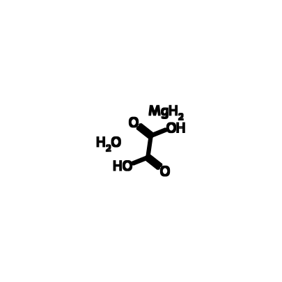 O.O=C(O)C(=O)O.[MgH2]